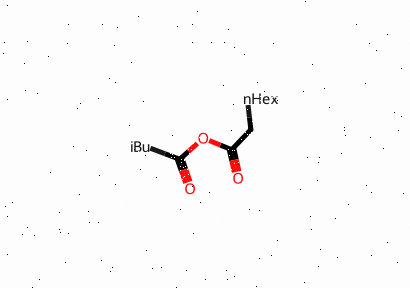 CCCCCCCC(=O)OC(=O)C(C)CC